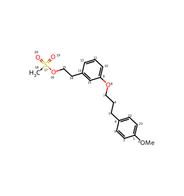 COc1ccc(CCCOc2cccc(CCOS(C)(=O)=O)c2)cc1